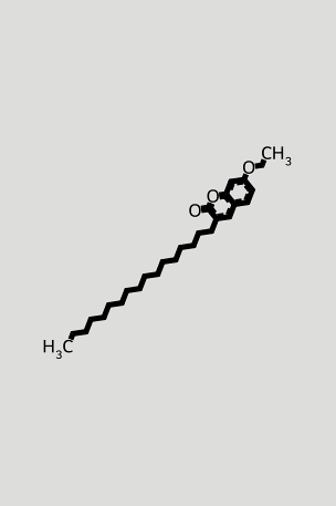 CCCCCCCCCCCCCCCCCc1cc2ccc(OCC)cc2oc1=O